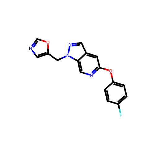 Fc1ccc(Oc2cc3cnn(Cc4cnco4)c3cn2)cc1